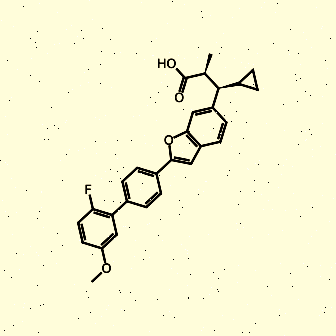 COc1ccc(F)c(-c2ccc(-c3cc4ccc([C@H](C5CC5)[C@H](C)C(=O)O)cc4o3)cc2)c1